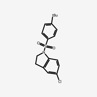 CC(C)(C)c1ccc(S(=O)(=O)N2CCc3cc(Cl)ccc32)cc1